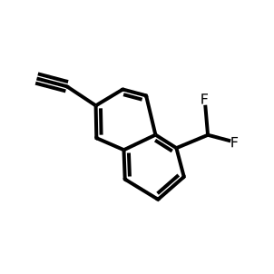 C#Cc1ccc2c([C](F)F)cccc2c1